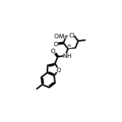 COC(=O)[C@@H](CC(C)Cl)NC(=O)c1cc2cc(C)ccc2o1